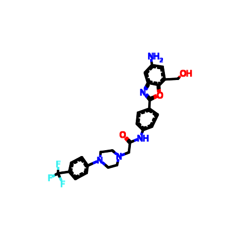 Nc1cc(CO)c2oc(-c3ccc(NC(=O)CN4CCN(c5ccc(C(F)(F)F)cc5)CC4)cc3)nc2c1